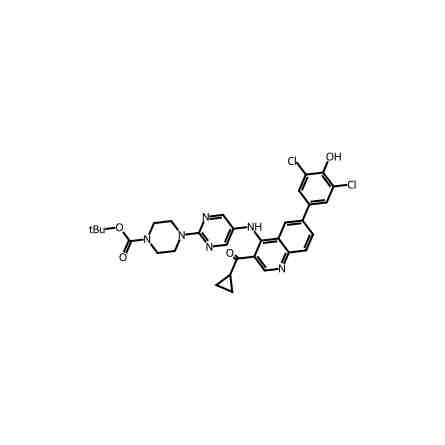 CC(C)(C)OC(=O)N1CCN(c2ncc(Nc3c(C(=O)C4CC4)cnc4ccc(-c5cc(Cl)c(O)c(Cl)c5)cc34)cn2)CC1